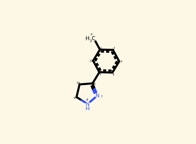 Cc1cccc(C2=NNCC2)c1